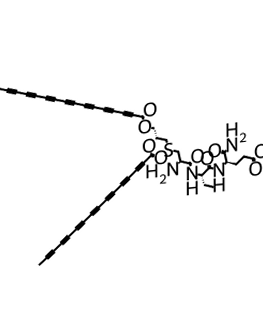 CC#CC#CC#CC#CC#CC#CC#CC(=O)OC[C@H](CSC[C@H](N)C(=O)N[C@@H](CC)C(=O)N[C@H](CCC(=O)O)C(N)=O)OC(=O)C#CC#CC#CC#CC#CC#CC#CC